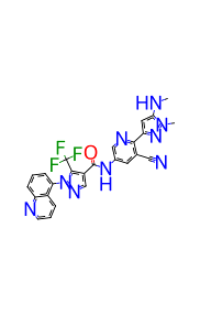 CNc1cc(-c2ncc(NC(=O)c3cnn(-c4cccc5ncccc45)c3C(F)(F)F)cc2C#N)nn1C